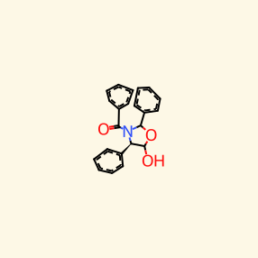 O=C(c1ccccc1)N1C(c2ccccc2)OC(O)[C@H]1c1ccccc1